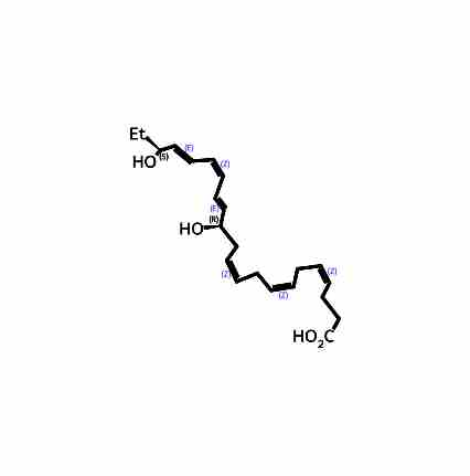 CC[C@H](O)/C=C/C=C\C=C\[C@H](O)C/C=C\C/C=C\C/C=C\CCC(=O)O